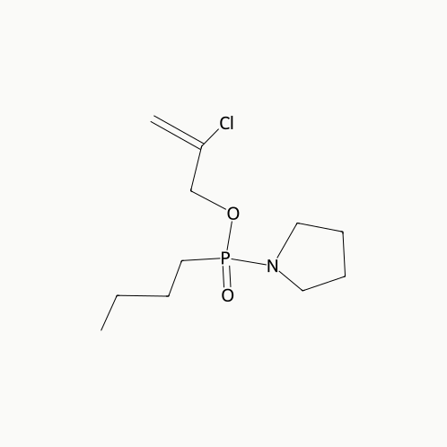 C=C(Cl)COP(=O)(CCCC)N1CCCC1